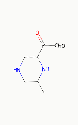 CC1CNCC(C(=O)C=O)N1